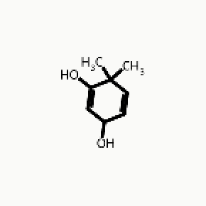 CC1(C)C=CC(O)C=C1O